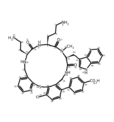 CN1C(=O)[C@H](CCCN)NC(=O)[C@H](CCN)NCc2cccnc2Sc2c(Cl)ccc(-c3ccc(C(=O)O)cc3)c2CNC(=O)[C@@H]1Cc1c[nH]c2ccccc12